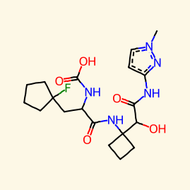 Cn1ccc(NC(=O)C(O)C2(NC(=O)C(CC3(F)CCCC3)NC(=O)O)CCC2)n1